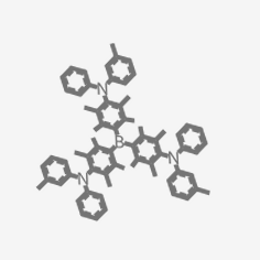 Cc1cccc(N(c2ccccc2)c2c(C)c(C)c(B(c3c(C)c(C)c(N(c4ccccc4)c4cccc(C)c4)c(C)c3C)c3c(C)c(C)c(N(c4ccccc4)c4cccc(C)c4)c(C)c3C)c(C)c2C)c1